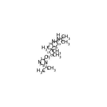 CC(COc1cncc(C(C)C)n1)CC(C)(C)c1ccc(NC(C)C)nc1